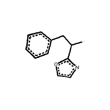 [CH2]C(Cc1ccccc1)c1ncco1